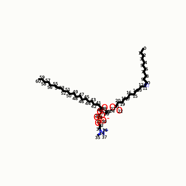 CCCCCCCCCC/C=C\CCCCCCCCCC(=O)OC[C@H](COP(=O)([O-])OCC[N+](C)(C)C)OC(=O)CCCCCCCCCCCCCCCCCCCC